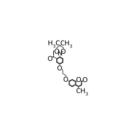 Cc1cc(=O)oc2cc(OCCCOc3ccc(N4OCC(C)(C)CO4)c(C(=O)I)c3)ccc12